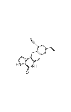 C=Cc1ccc(Cn2c(=S)[nH]c(=O)c3[nH]ccc32)c(C#N)c1